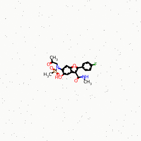 CNC(=O)c1c(-c2ccc(F)cc2)oc2cc(N(CC(C)=O)S(C)(=O)=O)c(O)cc12